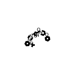 CC(C)Oc1ccccc1N1CCN(C[C@H]2CC(C(=O)N3CCC(Oc4ccccc4)CC3)=NO2)CC1